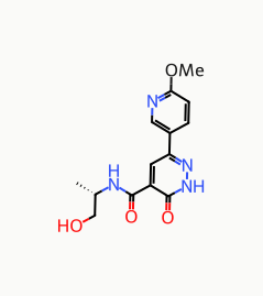 COc1ccc(-c2cc(C(=O)N[C@@H](C)CO)c(=O)[nH]n2)cn1